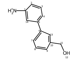 Nc1cccc(-c2cccc(CO)c2)c1